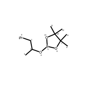 CC(C)CC(C)OB1OC(C)(C)C(C)(C)O1